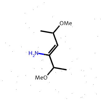 COC(C)C=C(N)C(C)OC